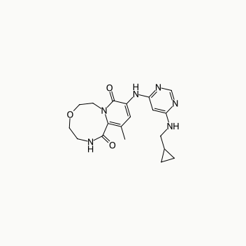 Cc1cc(Nc2cc(NCC3CC3)ncn2)c(=O)n2c1C(=O)NCCOCC2